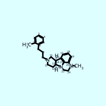 Cc1ccccc1CCCN1CC[C@H]2[C@@H](C1)c1cccc3c1N2CCN3C